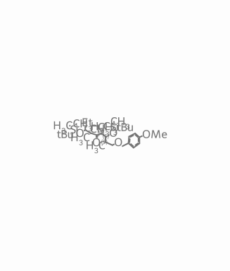 CCC(O[Si](C)(C)C(C)(C)C)C(C)(C)C(=O)[C@H](C)[C@@H](O[Si](C)(C)C(C)(C)C)[C@@H](C)COCc1ccc(OC)cc1